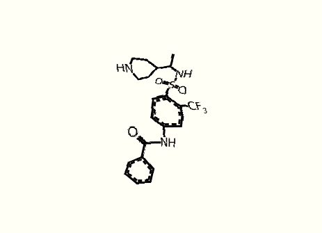 CC(NS(=O)(=O)c1ccc(NC(=O)c2ccccc2)cc1C(F)(F)F)C1CCNCC1